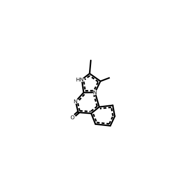 Cc1[nH]c2nc(=O)c3ccccc3n2c1C